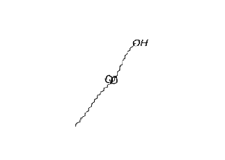 CCCCCCCCC=CCCCCCCCCCCCC(=O)OCCCCCCCCCCCCCCCO